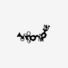 CN(C(=O)C1CC1)c1cn(C)c2ccc(Cc3nnc4ccc(-c5cnn(C)c5)cn34)cc2c1=O